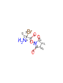 CC(N)(Br)C(=O)ON1C(=O)CCC1=O